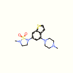 CN1CCN(c2cc(N3CCN(C)S3(=O)=O)cc3sccc23)CC1